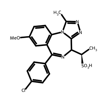 COc1ccc2c(c1)C(c1ccc(Cl)cc1)=NC([C@@H](C)S(=O)(=O)O)c1nnc(C)n1-2